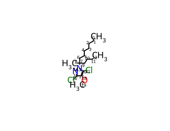 CCCCCCCC(C)(CCCC)n1nc(Cl)c(OC)c1Cl